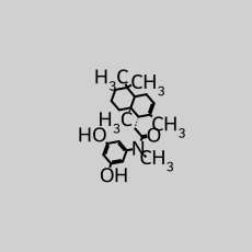 CC1=CCC2C(C)(C)CCC[C@]2(C)[C@H]1CC(=O)N(C)c1cc(O)cc(O)c1